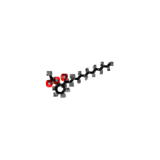 CCCCCCCCCCCCC(=O)C1CCCCC1OC(C)=O